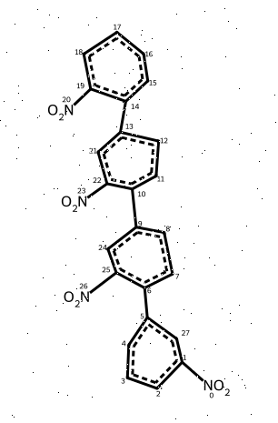 O=[N+]([O-])c1[c]ccc(-c2ccc(-c3ccc(-c4ccccc4[N+](=O)[O-])cc3[N+](=O)[O-])cc2[N+](=O)[O-])c1